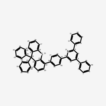 c1ccc(-c2cc(-c3ccccc3)nc(-c3ccc(-c4cccc5c4Sc4ccccc4C5(c4ccccc4)c4ccccc4)cc3)c2)cc1